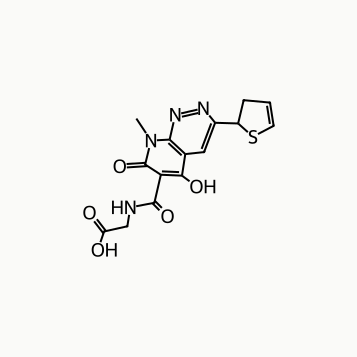 Cn1c(=O)c(C(=O)NCC(=O)O)c(O)c2cc(C3CC=CS3)nnc21